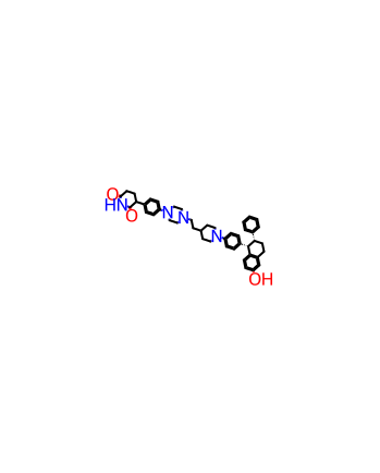 O=C1CCC(c2ccc(N3CCN(CCC4CCN(c5ccc([C@H]6c7ccc(O)cc7CC[C@H]6c6ccccc6)cc5)CC4)CC3)cc2)C(=O)N1